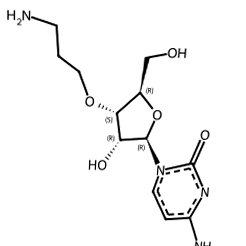 NCCCO[C@H]1[C@@H](O)[C@H](n2ccc(N)nc2=O)O[C@@H]1CO